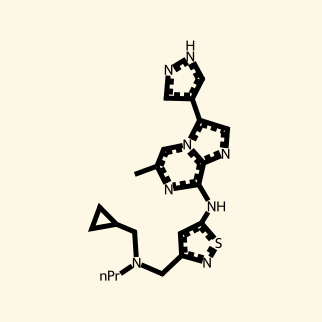 CCCN(Cc1cc(Nc2nc(C)cn3c(-c4cn[nH]c4)cnc23)sn1)CC1CC1